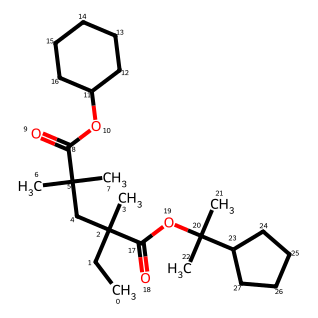 CCC(C)(CC(C)(C)C(=O)OC1CCCCC1)C(=O)OC(C)(C)C1CCCC1